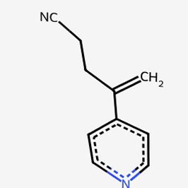 C=C(CCC#N)c1ccncc1